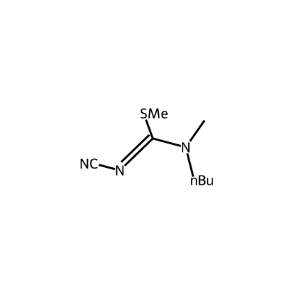 CCCCN(C)C(=NC#N)SC